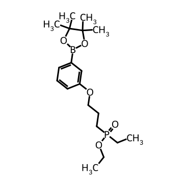 CCOP(=O)(CC)CCCOc1cccc(B2OC(C)(C)C(C)(C)O2)c1